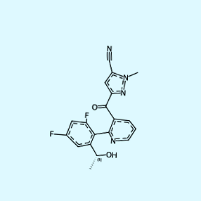 C[C@@H](O)c1cc(F)cc(F)c1-c1ncccc1C(=O)c1cc(C#N)n(C)n1